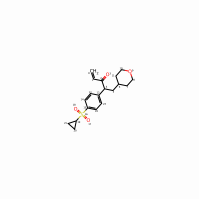 C=CC(=O)C(CC1CCOCC1)c1ccc(S(=O)(=O)C2CC2)cc1